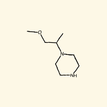 COCC(C)N1CCNCC1